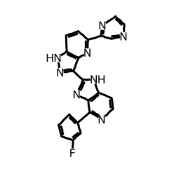 Fc1cccc(-c2nccc3[nH]c(-c4n[nH]c5ccc(-c6cnccn6)nc45)nc23)c1